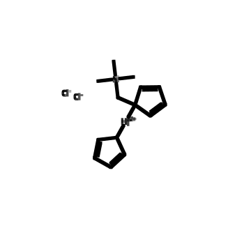 C[Si](C)(C)C[C]1([Hf+2][CH]2C=CC=C2)C=CC=C1.[Cl-].[Cl-]